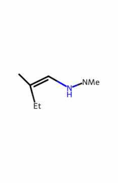 CC/C(C)=C\NNC